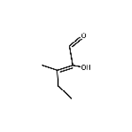 CCC(C)=C(O)C=O